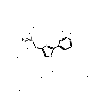 CNCc1coc(-c2ccccc2)n1